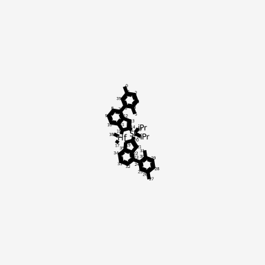 Cc1ccc(C)c(-c2cccc3c2C=C2[CH]3[Hf]([CH3])([CH3])[CH]3C(=Cc4c(-c5cc(C)ccc5C)cccc43)[Si]2(C(C)C)C(C)C)c1